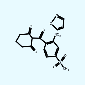 CS(=O)(=O)c1ccc(C(=O)C2C(=O)CCCC2=O)c([N+](=O)[O-])c1.c1cnoc1